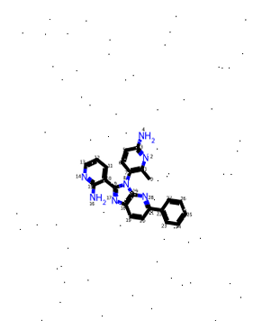 Cc1nc(N)ccc1-n1c(-c2cccnc2N)nc2ccc(-c3ccccc3)nc21